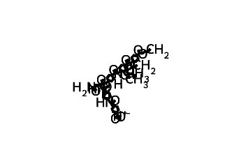 C=CCOC(=O)c1ccc(NC(=O)c2ccc(NC(=O)c3ccc(NC(=O)C(CC(N)=O)NC(=O)c4ccc(NC(=O)c5ccc([N+](=O)[O-])cc5)cc4)cc3)c(OC(C)C)c2OCC=C)cc1